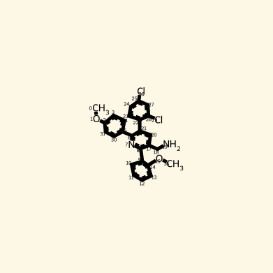 COc1ccc(-c2nc(-c3ccccc3OC)c(CN)cc2-c2ccc(Cl)cc2Cl)cc1